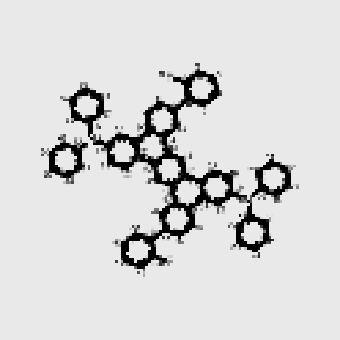 Fc1ccccc1-c1ccc2c(c1)c1cc3c4ccc(N(c5ccccc5)c5ccccc5)cc4c4ccc(-c5ccccc5F)cc4c3cc1c1ccc(N(c3ccccc3)c3ccccc3)cc21